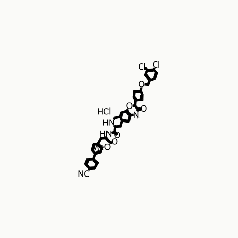 COC(=O)C(Cc1ccc(-c2ccc(C#N)cc2)cc1)NC(=O)C1Cc2cc3c(cc2CN1)OC(c1ccc(OCc2ccc(Cl)c(Cl)c2)cc1)C(=O)N3C.Cl